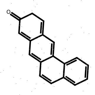 O=C1C=c2cc3ccc4ccccc4c3cc2=CC1